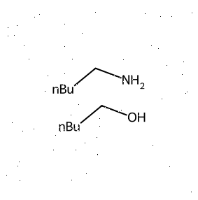 CCCCCN.CCCCCO